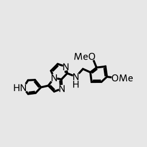 COc1ccc(CNc2nccn3c(C4=CCNC=C4)cnc23)c(OC)c1